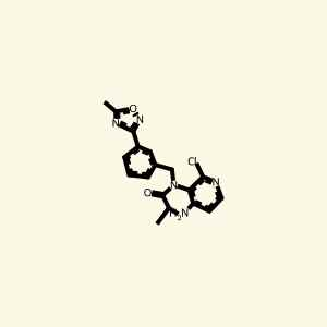 Cc1nc(-c2cccc(CN(C(=O)C(C)C)c3c(N)ccnc3Cl)c2)no1